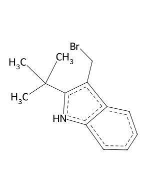 CC(C)(C)c1[nH]c2ccccc2c1CBr